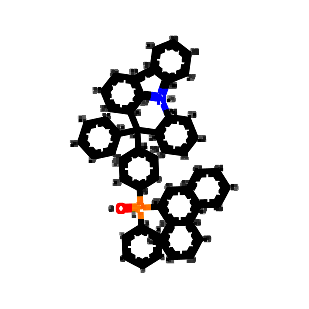 O=P(c1ccccc1)(c1ccc(C2(c3ccccc3)c3ccccc3-n3c4ccccc4c4cccc2c43)cc1)c1cc2ccccc2c2ccccc12